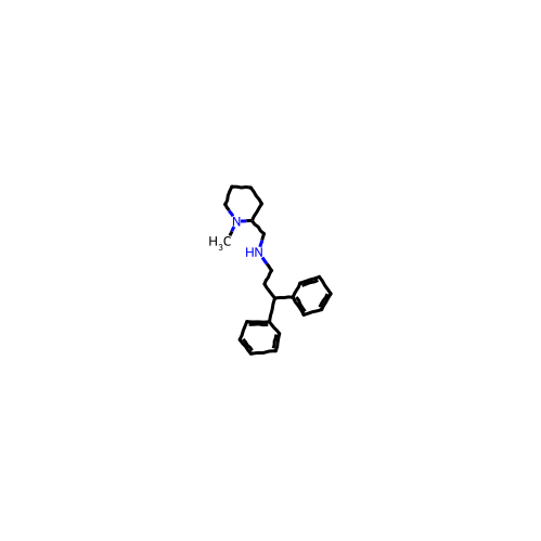 CN1CCCCC1CNCCC(c1ccccc1)c1ccccc1